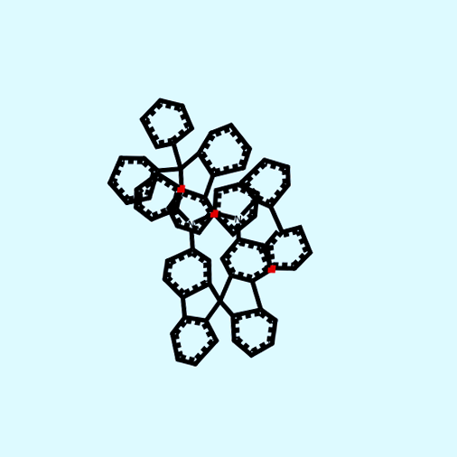 c1ccc(-c2ccccc2N(c2ccc3c(c2)C2(c4ccccc4-c4ccc(N(c5ccccc5)c5ccccc5)cc42)c2ccccc2-3)c2cccc3c2-c2ccccc2C3(c2ccccc2)c2ccccc2)cc1